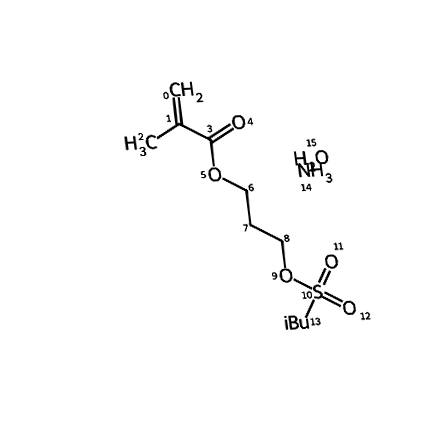 C=C(C)C(=O)OCCCOS(=O)(=O)C(C)CC.N.O